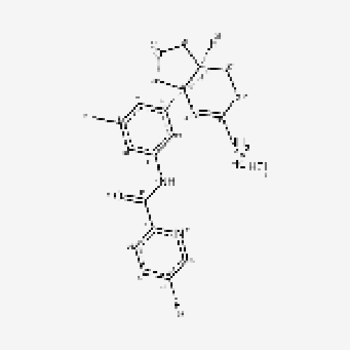 Cl.Cl.NC1=N[C@@]2(c3cc(F)cc(NC(=O)c4ccc(F)cn4)c3)COC[C@H]2CS1